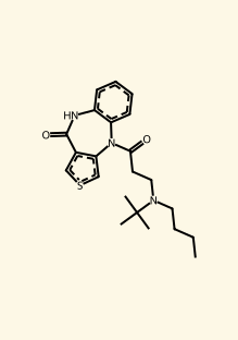 CCCCN(CCC(=O)N1c2ccccc2NC(=O)c2cscc21)C(C)(C)C